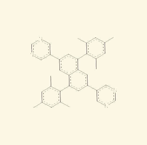 Cc1cc(C)c(-c2cc(-c3cncnc3)cc3c(-c4c(C)cc(C)cc4C)cc(-c4cncnc4)cc23)c(C)c1